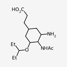 CCC(CC)OC1CC(CCC(=O)O)CC(N)C1NC(C)=O